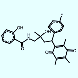 CC1=C(C)C(=O)C(C(CC(C)(O)CNC(=O)c2ccccc2O)c2ccc(F)cc2)=C(C)C1=O